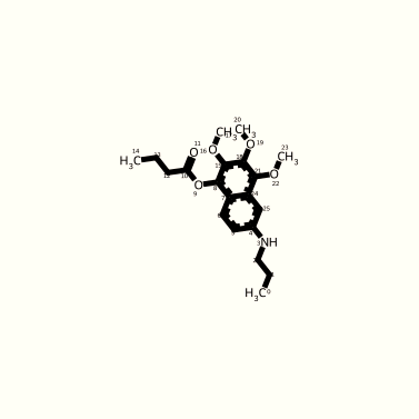 CCCNc1ccc2c(OC(=O)CCC)c(OC)c(OC)c(OC)c2c1